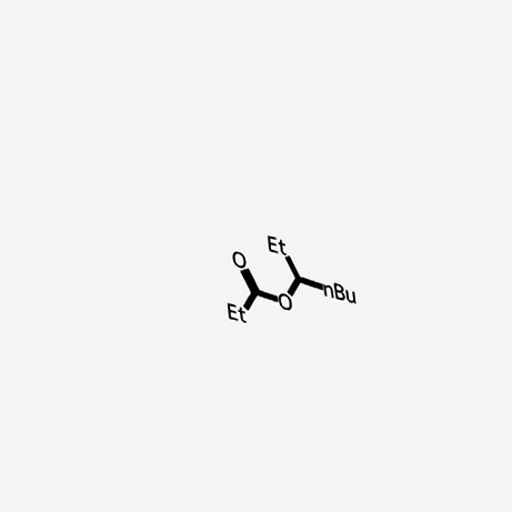 [CH2]CCCC(CC)OC(=O)CC